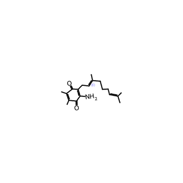 CC(C)=CCCC/C(C)=C/CC1=C(N)C(=O)C(C)=C(C)C1=O